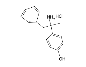 CC(N)(Cc1ccccc1)c1ccc(O)cc1.Cl